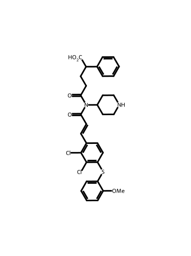 COc1ccccc1Sc1ccc(C=CC(=O)N(C(=O)CCC(C(=O)O)c2ccccc2)C2CCNCC2)c(Cl)c1Cl